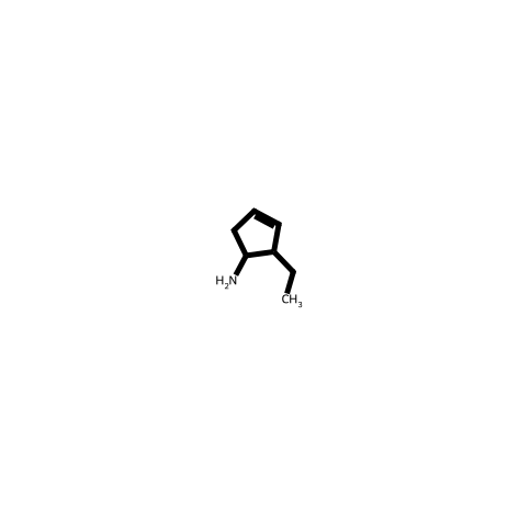 CCC1C=CCC1N